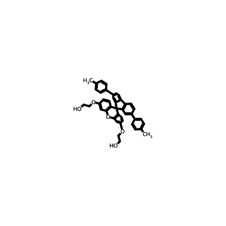 Cc1ccc(-c2ccc3c(c2)C2(c4ccc(OCCO)cc4Oc4cc(OCCO)ccc42)c2cc(-c4ccc(C)cc4)ccc2-3)cc1